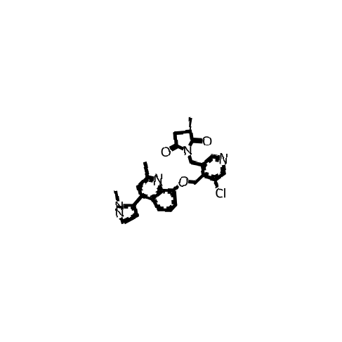 Cc1cc(-c2ccnn2C)c2cccc(OCc3c(Cl)cncc3CN3C(=O)C[C@@H](C)C3=O)c2n1